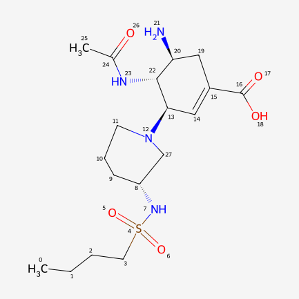 CCCCS(=O)(=O)N[C@@H]1CCCN([C@@H]2C=C(C(=O)O)C[C@H](N)[C@H]2NC(C)=O)C1